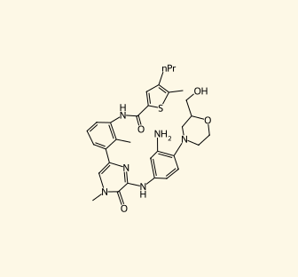 CCCc1cc(C(=O)Nc2cccc(-c3cn(C)c(=O)c(Nc4ccc(N5CCOC(CO)C5)c(N)c4)n3)c2C)sc1C